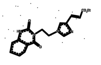 CCOC(=O)C=Cc1cn(CCn2c(=O)[nH]c3ccccc3c2=O)cn1